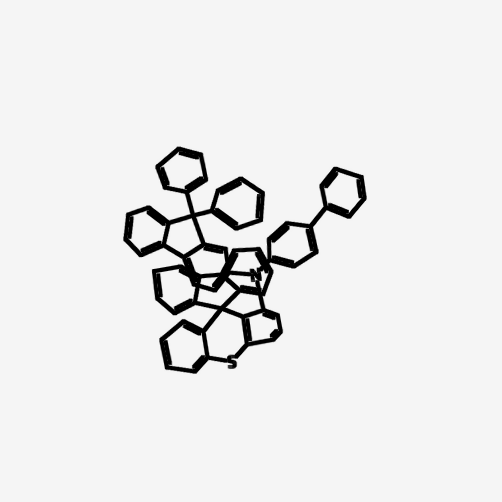 c1ccc(-c2ccc(N(c3ccc4c(c3)C(c3ccccc3)(c3ccccc3)c3ccccc3-4)c3cccc4c3C3(c5ccccc5S4)c4ccccc4-c4ccccc43)cc2)cc1